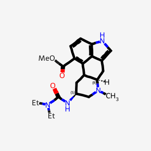 CCN(CC)C(=O)N[C@H]1CC2c3c(C(=O)OC)ccc4[nH]cc(c34)C[C@H]2N(C)C1